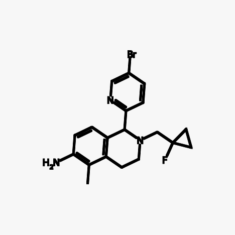 Cc1c(N)ccc2c1CCN(CC1(F)CC1)C2c1ccc(Br)cn1